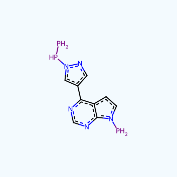 PPn1cc(-c2ncnc3c2ccn3P)cn1